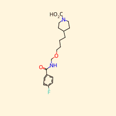 O=C(NCOCCCCC1CCN(C(=O)O)CC1)c1ccc(F)cc1